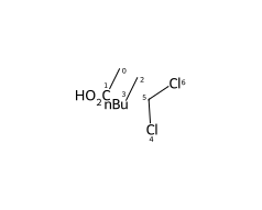 CC(=O)O.CCCCC.ClCCl